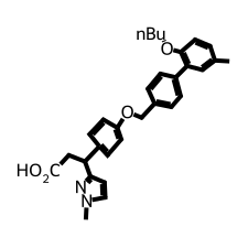 CCCCOc1ccc(C)cc1-c1ccc(COc2ccc(C(CC(=O)O)c3ccn(C)n3)cc2)cc1